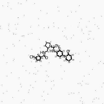 O=C(NCC1CCCN1C(=O)Nc1ccc(-n2ccccc2=O)cc1F)c1ccc(Cl)s1